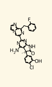 C[C@@]1(c2ccc(Cl)c(O)c2)C(=O)Nc2nc(-c3cn4ccnc4c(Cc4ccccc4F)n3)nc(N)c21